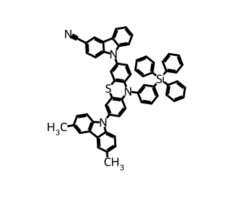 Cc1ccc2c(c1)c1cc(C)ccc1n2-c1ccc2c(c1)Sc1cc(-n3c4ccccc4c4cc(C#N)ccc43)ccc1N2c1cccc([Si](c2ccccc2)(c2ccccc2)c2ccccc2)c1